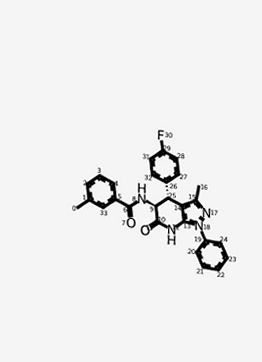 Cc1cccc(C(=O)N[C@@H]2C(=O)Nc3c(c(C)nn3-c3ccccc3)[C@H]2c2ccc(F)cc2)c1